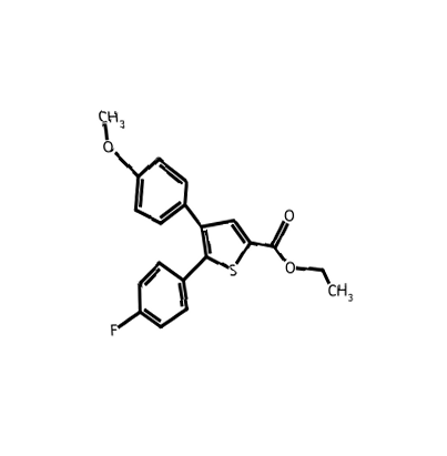 CCOC(=O)c1cc(-c2ccc(OC)cc2)c(-c2ccc(F)cc2)s1